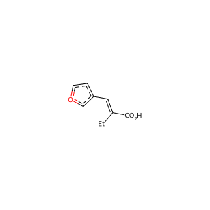 CC/C(=C\c1ccoc1)C(=O)O